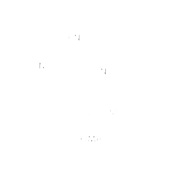 COC(=O)c1ccnc(C#N)c1N1CCCC1